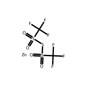 O=S(=O)(SS(=O)(=O)C(F)(F)F)C(F)(F)F.[Zn]